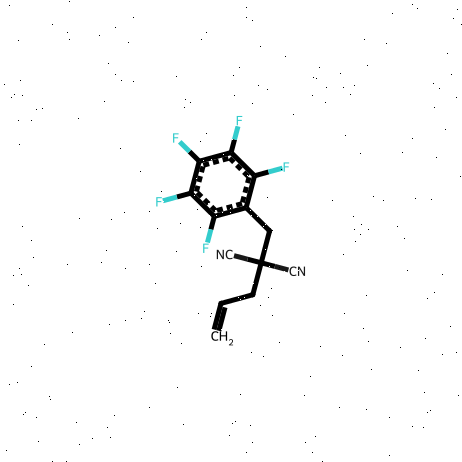 C=CCC(C#N)(C#N)Cc1c(F)c(F)c(F)c(F)c1F